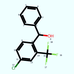 OC(c1ccccc1)c1ccc(Cl)cc1C(F)(F)F